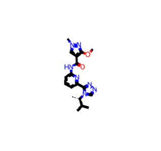 COc1nn(C)cc1C(=O)Nc1cccc(-c2nncn2[C@@H](C)C(C)C)n1